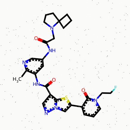 Cc1ncc(NC(=O)CN2CCCC23CCC3)cc1NC(=O)c1cnn2cc(-c3cccn(CCF)c3=O)sc12